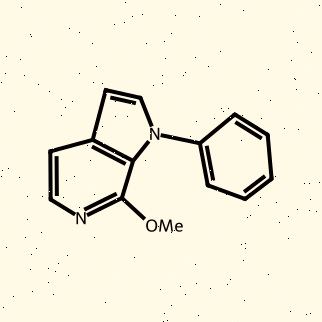 COc1nccc2ccn(-c3ccccc3)c12